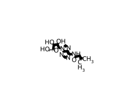 CC(C)CC(=O)Nc1ncnc2c1ncn2[C@@H]1O[C@H](CO)[C@@H](O)[C@H]1O